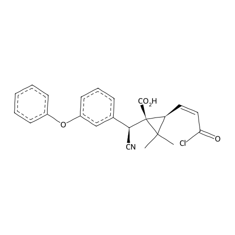 CC1(C)[C@H](/C=C\C(=O)Cl)[C@@]1(C(=O)O)[C@@H](C#N)c1cccc(Oc2ccccc2)c1